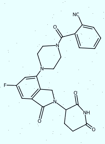 N#Cc1ccccc1C(=O)N1CCN(c2cc(F)cc3c2CN(C2CCC(=O)NC2=O)C3=O)CC1